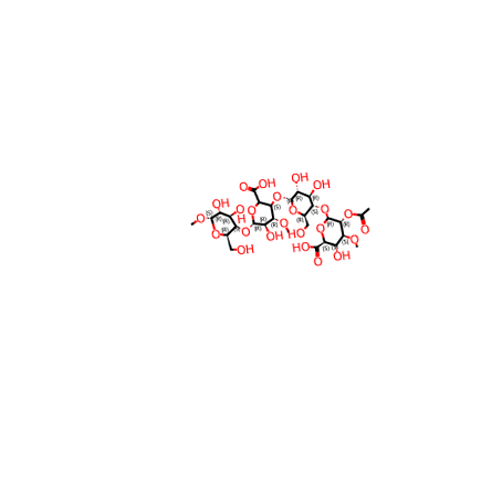 CO[C@H]1O[C@H](CO)[C@@H](O[C@@H]2OC(C(=O)O)[C@@H](O[C@H]3O[C@H](CO)[C@@H](O[C@@H]4O[C@H](C(=O)O)[C@@H](O)[C@H](OC)[C@H]4OC(C)=O)[C@H](O)[C@H]3O)[C@H](OC)[C@H]2O)[C@H](O)[C@H]1O